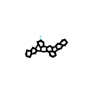 Fc1cc2c3c(c1)-c1cc4c5c(cccc5c1CC3c1cc3ccccc3cc1-2)-c1cc2ccccc2cc1-4